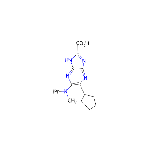 CC(C)N(C)c1nc2[nH]c(C(=O)O)nc2nc1C1CCCC1